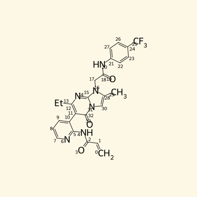 C=CC(=O)Nc1ncccc1-c1c(CC)nc2n(CC(=O)Nc3ccc(C(F)(F)F)cc3)c(C)cn2c1=O